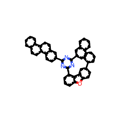 c1ccc(-c2ccc3oc4cccc(-c5nc(-c6ccc7ccccc7c6)nc(-c6ccc7c(ccc8c9ccccc9ccc78)c6)n5)c4c3c2)cc1